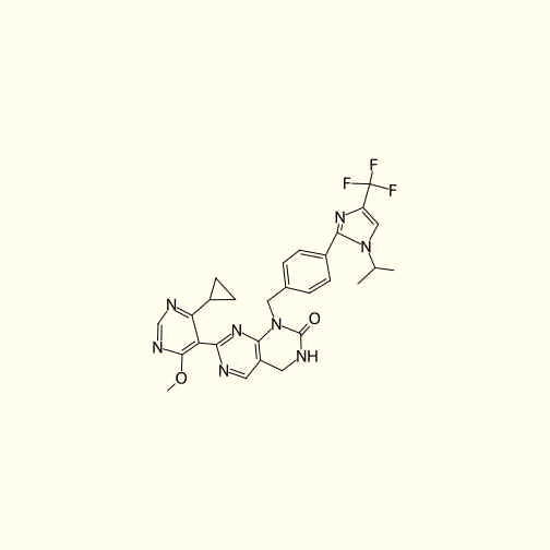 COc1ncnc(C2CC2)c1-c1ncc2c(n1)N(Cc1ccc(-c3nc(C(F)(F)F)cn3C(C)C)cc1)C(=O)NC2